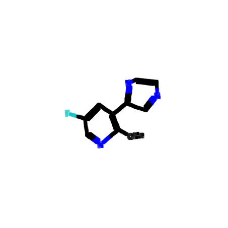 COc1ncc(F)cc1-c1cnccn1